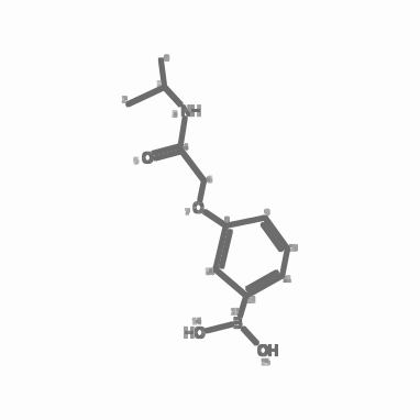 CC(C)NC(=O)COc1cccc(B(O)O)c1